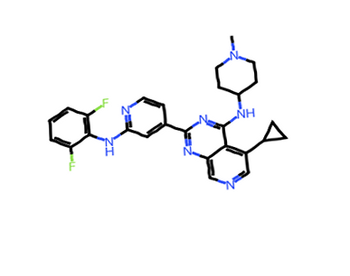 CN1CCC(Nc2nc(-c3ccnc(Nc4c(F)cccc4F)c3)nc3cncc(C4CC4)c23)CC1